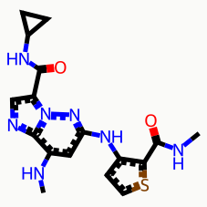 CNC(=O)c1sccc1Nc1cc(NC)c2ncc(C(=O)NC3CC3)n2n1